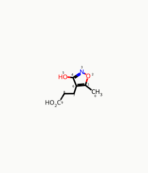 Cc1onc(O)c1CCC(=O)O